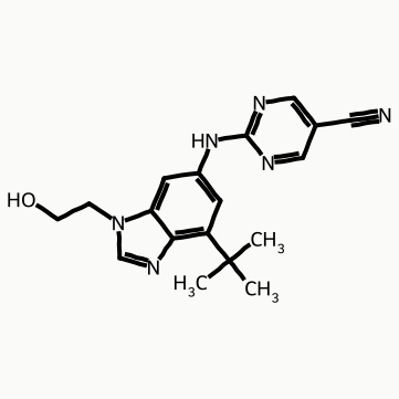 CC(C)(C)c1cc(Nc2ncc(C#N)cn2)cc2c1ncn2CCO